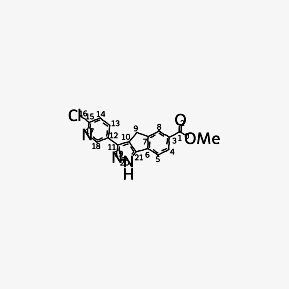 COC(=O)c1ccc2c(c1)Cc1c(-c3ccc(Cl)nc3)n[nH]c1-2